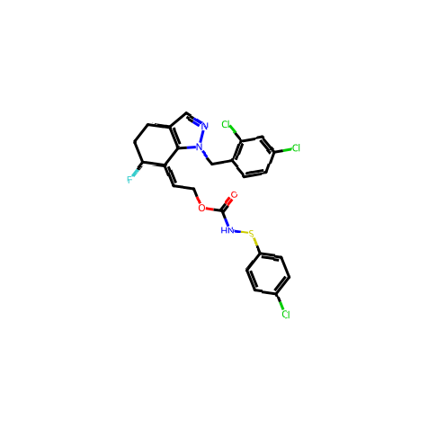 O=C(NSc1ccc(Cl)cc1)OC/C=C1\c2c(cnn2Cc2ccc(Cl)cc2Cl)CCC1F